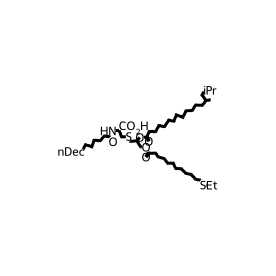 CCCCCCCCCCCCCCCC(=O)NC(CSCC(COC(=O)CCCCCCCCCCCSCC)OC(=O)CCCCCCCCCCCCC(C)CC(C)C)C(=O)O